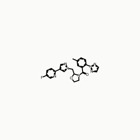 Cc1ccc(-n2nccn2)c(C(=O)N2CCOC2Cn2cc(-c3ccc(F)cn3)cn2)c1